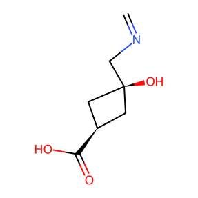 C=NC[C@]1(O)C[C@@H](C(=O)O)C1